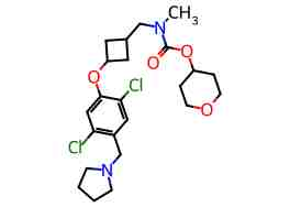 CN(CC1CC(Oc2cc(Cl)c(CN3CCCC3)cc2Cl)C1)C(=O)OC1CCOCC1